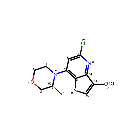 C[C@@H]1COCCN1c1cc(Cl)nc2c(C=O)csc12